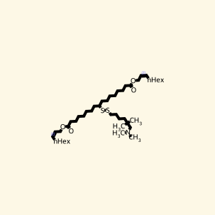 CCCCCC/C=C\COC(=O)CCCCCCCC(CCCCCCCC(=O)OC/C=C\CCCCCC)SSCCCCC(C)(C)CN(C)C